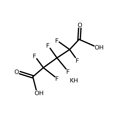 O=C(O)C(F)(F)C(F)(F)C(F)(F)C(=O)O.[KH]